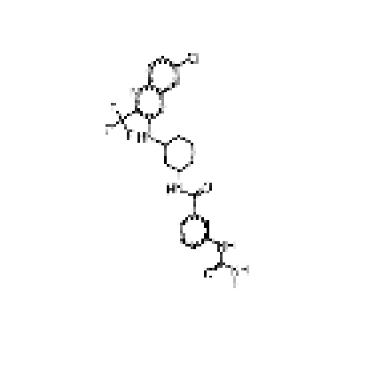 CNC(=O)Nc1cccc(C(=O)N[C@H]2CCCC(Nc3cc4cc(Cl)ccc4nc3C(F)(F)F)C2)c1